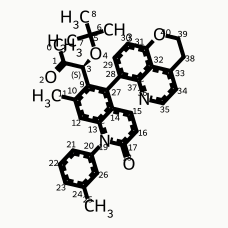 CC(=O)[C@@H](OC(C)(C)C)c1c(C)cc2c(ccc(=O)n2-c2cccc(C)c2)c1-c1ccc2c3c(ccnc13)CCO2